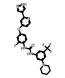 O=C(Nc1cc(N2CCCCC2)cc(C(F)(F)F)c1)Nc1ccc(Oc2ccnc(-c3cn[nH]c3)c2)cc1F